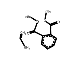 BC=C.CCCCOC(=O)c1ccccc1C(=O)OCCCC